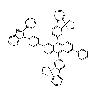 c1ccc(-c2ccc3c(-c4ccc5c(c4)C4(CCCC4)c4ccccc4-5)c4cc(-c5ccc(-n6c(-c7ccccc7)nc7ccccc76)cc5)ccc4c(-c4ccc5c(c4)C4(CCCC4)c4ccccc4-5)c3c2)cc1